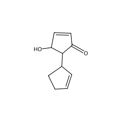 O=C1C=CC(O)C1C1C=CCC1